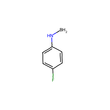 BNc1ccc(F)cc1